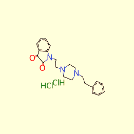 Cl.Cl.O=C1C(=O)N(CCN2CCN(CCc3ccccc3)CC2)c2ccccc21